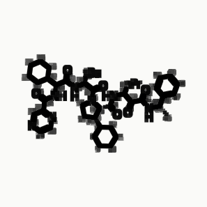 CCCC(NC(=O)[C@@H]1[C@@H](C2CCCCC2)CCN1C(=O)[C@@H](NC(=O)[C@@H](NC(=O)c1cnccn1)C1CCCCC1)C(C)(C)C)C(=O)C(=O)N[C@@H](C)c1ccccc1